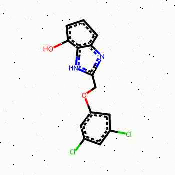 Oc1cccc2nc(COc3cc(Cl)cc(Cl)c3)[nH]c12